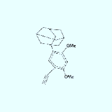 C#Cc1cc(C23CC4CC(CC(C4)C2)C3)c(OC)cc1OC